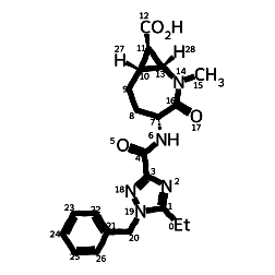 CCc1nc(C(=O)N[C@@H]2CC[C@@H]3[C@@H](C(=O)O)[C@@H]3N(C)C2=O)nn1Cc1ccccc1